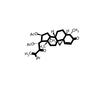 C=C(C(=O)[C@H](OC(C)=O)C1[C@@H](OC(C)=O)C[C@@]2(C)[C@@H]3CC[C@H]4[C@H](C)C(=O)C=C[C@@]45C[C@@]35CC[C@]12C)C(C)C